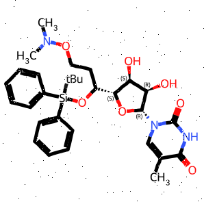 Cc1cn([C@@H]2O[C@H](C(CCON(C)C)O[Si](c3ccccc3)(c3ccccc3)C(C)(C)C)[C@@H](O)[C@H]2O)c(=O)[nH]c1=O